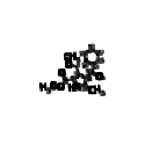 COCc1c(C(=O)OC)[nH]c(C)c1C(=O)c1ccccc1